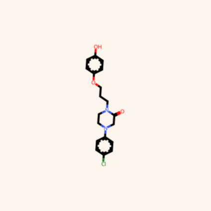 O=C1CN(c2ccc(Cl)cc2)CCN1CCCOc1ccc(O)cc1